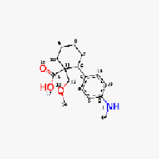 CNc1ccc(C2CCCCC2(COC)C(=O)O)cc1